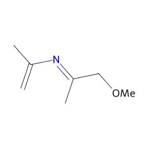 C=C(C)/N=C(\C)COC